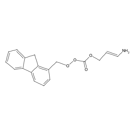 NC=CCOC(=O)OOCc1cccc2c1Cc1ccccc1-2